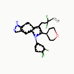 O=C(O)C(F)(F)Cc1c(C2CCOCC2)n(-c2ccc(F)c(F)c2)c2cc3cn[nH]c3cc12